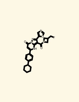 O=C(c1c(-c2cnco2)nn2c(=O)cc(-c3ccc(C4CCCCC4)cc3)[nH]c12)N1CC(CF)C1